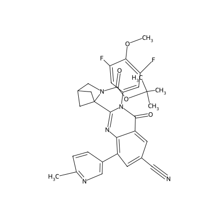 COc1c(F)cc(-n2c(C34CC(CN3C(=O)OC(C)(C)C)C4)nc3c(-c4ccc(C)nc4)cc(C#N)cc3c2=O)cc1F